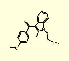 COc1ccc(C(=O)c2c(C)n(CCN)c3ccccc23)cc1